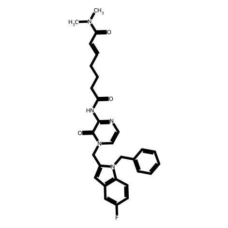 CN(C)C(=O)/C=C/CCCC(=O)Nc1nccn(Cc2cc3cc(F)ccc3n2Cc2ccccc2)c1=O